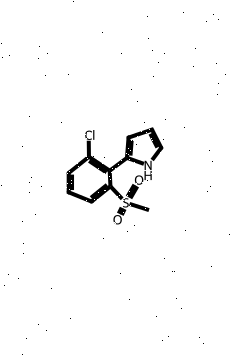 CS(=O)(=O)c1cccc(Cl)c1-c1ccc[nH]1